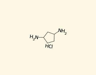 Cl.NC1CCC(N)C1